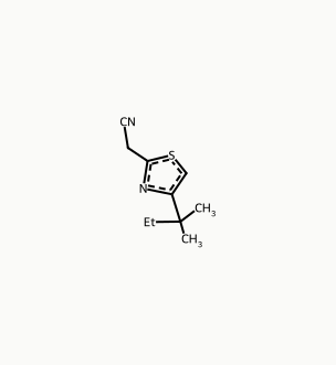 CCC(C)(C)c1csc(CC#N)n1